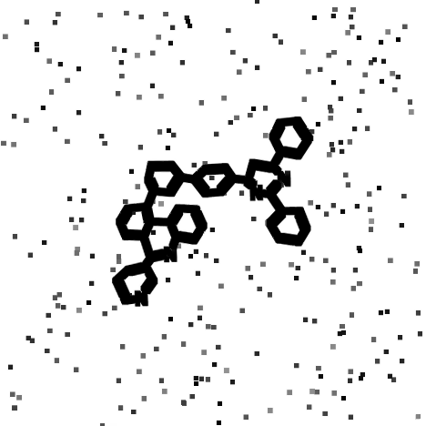 c1ccc(-c2cc(-c3ccc(-c4cccc(-c5cccc6c(-c7cccnc7)nc7ccccc7c56)c4)cc3)nc(-c3ccccc3)n2)cc1